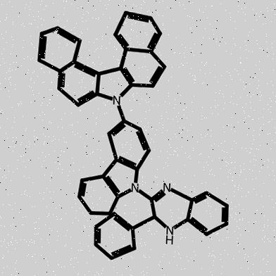 C1=Cc2c(n(C3=Nc4ccccc4NC3c3ccccc3)c3ccc(-n4c5ccc6ccccc6c5c5c6ccccc6ccc54)cc23)CC1